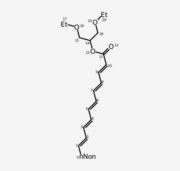 CCCCCCCCCC=CC=CC=CC=CC=CC(=O)OC(COCC)COCC